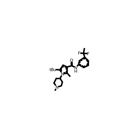 Cc1c(C(=O)Nc2cccc(C(C)(F)F)c2)cc(C(C)(C)C)n1C1CCN(C)CC1